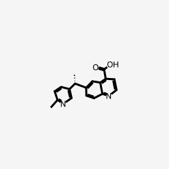 Cc1ccc([C@H](C)c2ccc3nccc(C(=O)O)c3c2)cn1